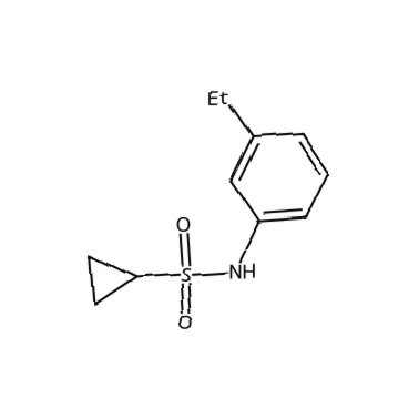 CCc1cccc(NS(=O)(=O)C2CC2)c1